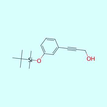 CC(C)(C)[Si](C)(C)Oc1cccc(C#CCO)c1